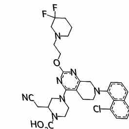 N#CCC1CN(c2nc(OCCN3CCCC(F)(F)C3)nc3c2CCN(c2cccc4cccc(Cl)c24)C3)CCN1C(=O)O